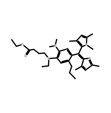 CCCc1cc(N(CC)CCCC(=O)OCC)c(N(C)C)cc1/C(=C1/N=C(C)C=C1C)c1c(C)cc(C)n1C